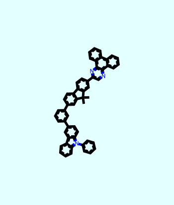 CC1(C)c2cc(-c3cccc(-c4ccc5c(c4)c4ccccc4n5-c4ccccc4)c3)ccc2-c2ccc(-c3cnc4c5ccccc5c5ccccc5c4n3)cc21